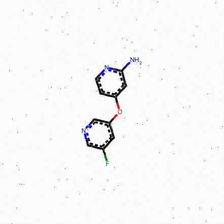 Nc1cc(Oc2cncc(F)c2)ccn1